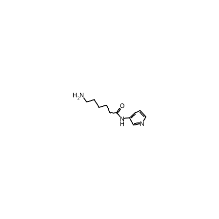 NCCCCCC(=O)Nc1cccnc1